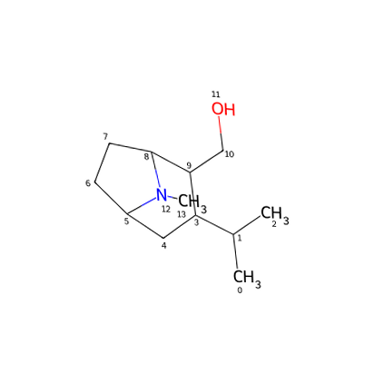 CC(C)C1CC2CCC(C1CO)N2C